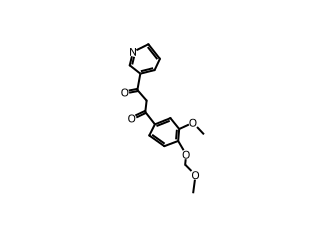 COCOc1ccc(C(=O)CC(=O)c2cccnc2)cc1OC